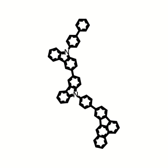 c1ccc(-c2ccc(-n3c4ccccc4c4cc(-c5ccc6c(c5)c5ccccc5n6-c5ccc(-c6ccc7c(c6)-c6cc8ccccc8c8cccc-7c68)cc5)ccc43)cc2)cc1